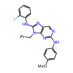 COc1ccc(Nc2ncc3nc(Nc4ccccc4F)n(CC(C)C)c3n2)cc1